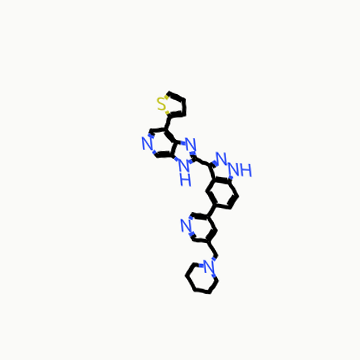 c1csc(-c2cncc3[nH]c(-c4n[nH]c5ccc(-c6cncc(CN7CCCCC7)c6)cc45)nc23)c1